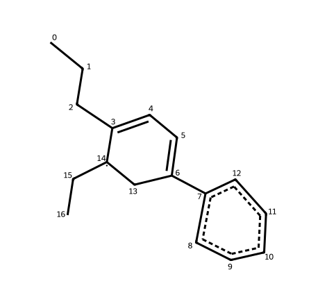 CCCC1=CC=C(c2ccccc2)C[C]1CC